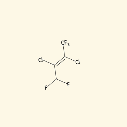 FC(F)C(Cl)=C(Cl)C(F)(F)F